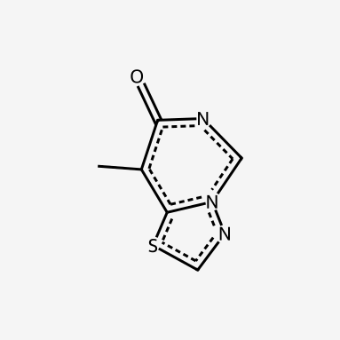 Cc1c(=O)ncn2ncsc12